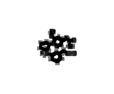 CCOc1cc(=NC(=O)S)cnn1C1C=CCC=C1.O=CCc1cccc(C(F)(F)F)c1